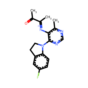 CC(=O)/C(C)=N/c1c(C)ncnc1N1CCc2cc(F)ccc21